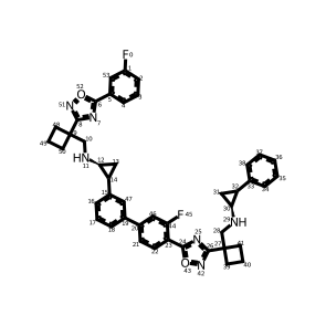 Fc1cccc(-c2nc(C3(CN[C@H]4CC4c4cccc(-c5ccc(-c6nc(C7(CN[C@H]8CC8c8ccccc8)CCC7)no6)c(F)c5)c4)CCC3)no2)c1